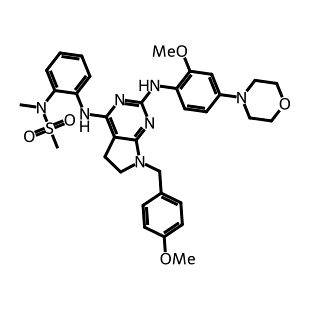 COc1ccc(CN2CCc3c(Nc4ccccc4N(C)S(C)(=O)=O)nc(Nc4ccc(N5CCOCC5)cc4OC)nc32)cc1